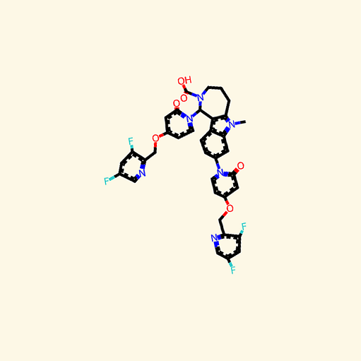 Cn1c2c(c3ccc(-n4ccc(OCc5ncc(F)cc5F)cc4=O)cc31)C(n1ccc(OCc3ncc(F)cc3F)cc1=O)N(C(=O)O)CCC2